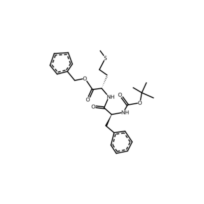 CSCC[C@H](NC(=O)[C@H](Cc1ccccc1)NC(=O)OC(C)(C)C)C(=O)OCc1ccccc1